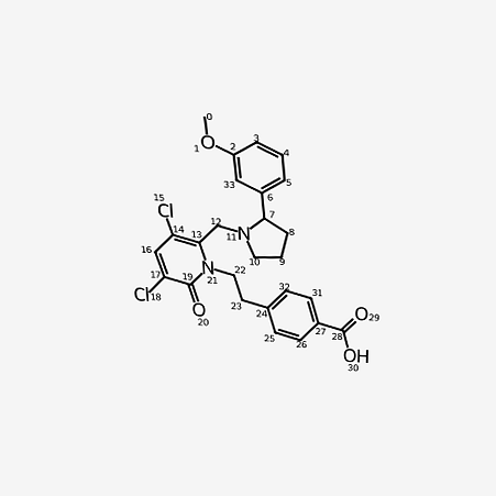 COc1cccc(C2CCCN2Cc2c(Cl)cc(Cl)c(=O)n2CCc2ccc(C(=O)O)cc2)c1